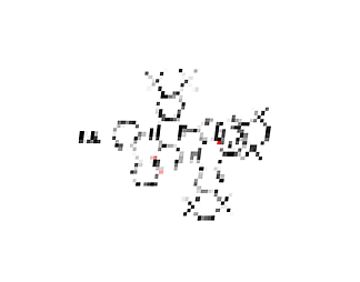 Cc1cc2c3c(c1)N(c1cc4c(cc1-c1ccccc1)C(C)(C)CCC4(C)C)c1c(sc4cc5c(cc14)C(C)(C)CCC5(C)C)B3c1cc3c(cc1N2c1ccc(C(C)(C)C)cc1-c1ccccc1)C(C)(C)CCC3(C)C